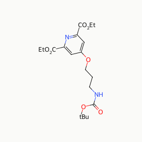 CCOC(=O)c1cc(OCCCNC(=O)OC(C)(C)C)cc(C(=O)OCC)n1